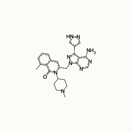 Cc1cccc2cc(Cn3nc(-c4cn[nH]c4)c4c(N)ncnc43)n(C3CCN(C)CC3)c(=O)c12